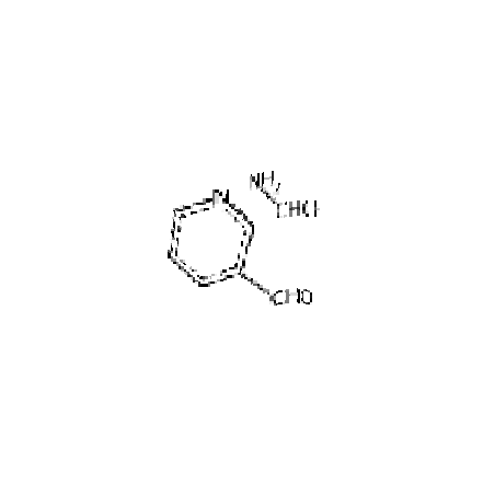 NC=O.O=Cc1cccnc1